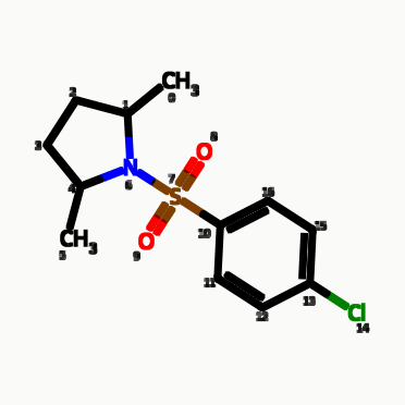 CC1CCC(C)N1S(=O)(=O)c1ccc(Cl)cc1